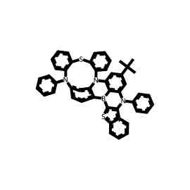 CC(C)(C)c1cc2c3c(c1)N(c1ccccc1)c1c(sc4ccccc14)B3c1ccc3cc1N2c1ccccc1Sc1ccccc1N3c1ccccc1